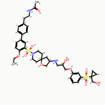 CCOc1ccc(-c2ccc(CCNC(C)=O)cc2)cc1S(=O)(=O)N1CCC2(CC1)CC(NCC(O)COc1cccc(S(=O)(=O)C3(CO)CC3)c1)CO2